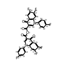 O=C(OC(=O)c1cn(-c2ccc(F)cc2)c2cc(F)c(F)cc2c1=O)c1cn(-c2ccc(F)cc2)c2cc(F)c(F)cc2c1=O